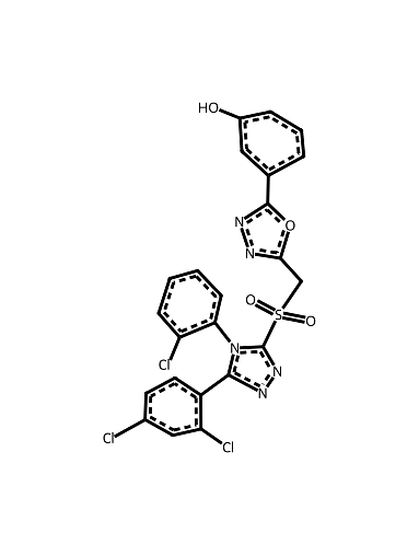 O=S(=O)(Cc1nnc(-c2cccc(O)c2)o1)c1nnc(-c2ccc(Cl)cc2Cl)n1-c1ccccc1Cl